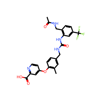 CC(=O)NCc1ccc(C(F)(F)F)cc1NC(=O)NCc1ccc(Oc2ccnc(C(=O)O)c2)c(C)c1